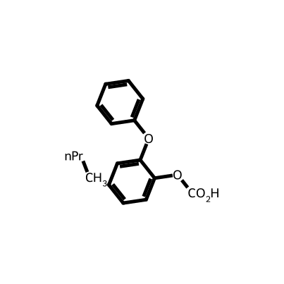 CCCC.O=C(O)Oc1ccccc1Oc1ccccc1